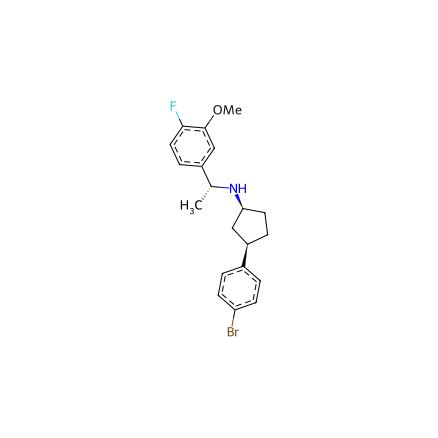 COc1cc([C@@H](C)N[C@H]2CC[C@@H](c3ccc(Br)cc3)C2)ccc1F